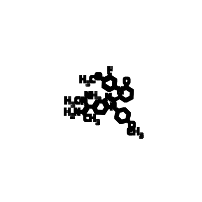 COc1ccc(N2C(=O)CCC[C@H]2c2nc3cc(/C(=C(\C)N)N(C)N)ccc3n2C2CCC(OC)CC2)cc1F